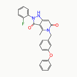 Cc1c2c(=O)n(-c3ccccc3F)[nH]c2cc(=O)n1Cc1cccc(Oc2ccccc2)c1